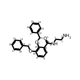 NCCNC(=O)c1cccc(OCc2ccccc2)c1OCc1ccccc1